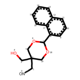 O=NCC1(CO)COC(c2cccc3ccccc23)OC1